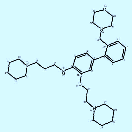 c1ccc(-c2ccc(NCCCN3CCCCC3)c(OCCN3CCCCC3)c2)c(CN2CCOCC2)c1